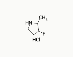 CC1NCCC1F.Cl